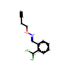 C#CCCON=[C]c1ccccc1C(F)F